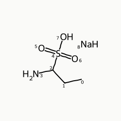 CCC(N)S(=O)(=O)O.[NaH]